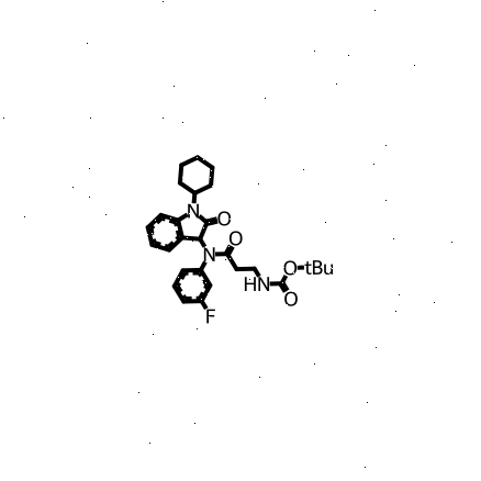 CC(C)(C)OC(=O)NCCC(=O)N(c1cccc(F)c1)C1C(=O)N(C2CCCCC2)c2ccccc21